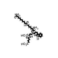 NC(=O)CCCCCCCCC(=O)NCCCC[C@H](N)C(=O)C[C@H](Cc1c[nH]c2ccccc12)C(=O)NCC[C@@H](NC(=O)CCCC(=O)O)C(=O)O